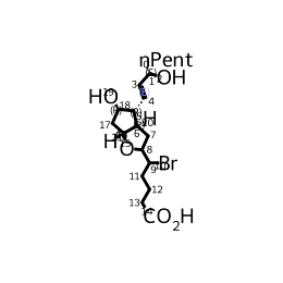 CCCCC[C@H](O)/C=C/[C@@H]1[C@H]2CC(C(Br)CCCC(=O)O)O[C@@H]2C[C@H]1O